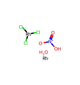 O.O=[N+]([O-])O.[Cl][Rh]([Cl])[Cl].[Rh]